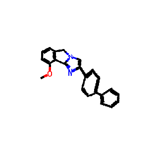 COc1cccc2c1-c1nc(-c3ccc(-c4ccccc4)cc3)cn1C2